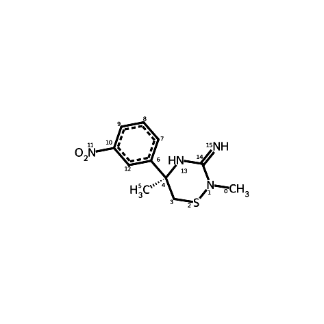 CN1SC[C@@](C)(c2cccc([N+](=O)[O-])c2)NC1=N